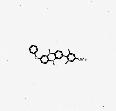 COc1cc(C)c(-c2ccc3c(c2)N(C)c2ccc(Oc4ccccc4)cc2N3C)c(C)c1